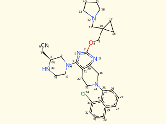 N#CC[C@H]1CN(c2nc(OCC3(CN4CCCC4)CC3)nc3c2CCN(c2cccc4cccc(Cl)c24)C3)CCN1